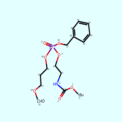 CC(C)(C)OC(=O)NCCOP(=O)(OCCCOC=O)OCc1ccccc1